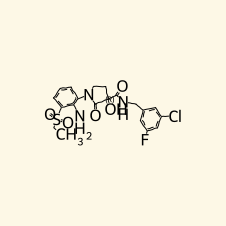 CCS(=O)(=O)c1cccc(N2CC[C@@](O)(C(=O)NCc3cc(F)cc(Cl)c3)C2=O)c1N